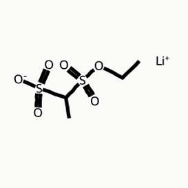 CCOS(=O)(=O)C(C)S(=O)(=O)[O-].[Li+]